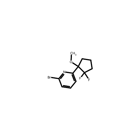 COC1(c2cccc(Br)n2)CCCC1(F)F